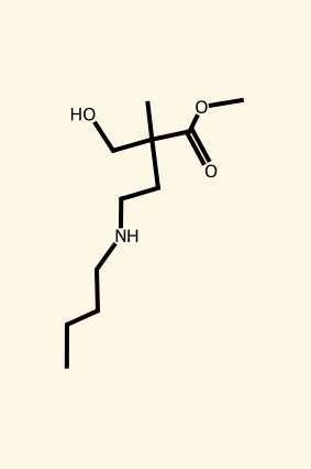 CCCCNCCC(C)(CO)C(=O)OC